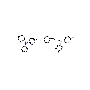 Cc1ccc(C(=CC=Cc2ccc(C=Cc3ccc(N(c4ccc(C)cc4)c4ccc(C)cc4)cc3)cc2)c2ccc(C)cc2)cc1